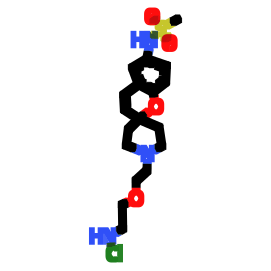 CS(=O)(=O)Nc1ccc2c(c1)C=CC1(CCN(CCOCCNCl)CC1)O2